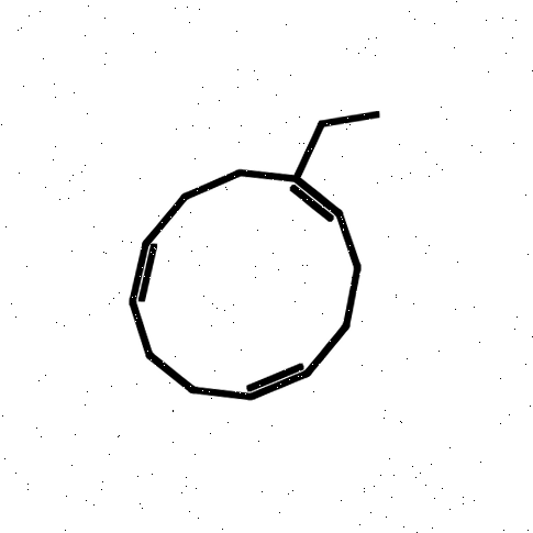 CC/C1=C/CC/C=C\CC/C=C\CC1